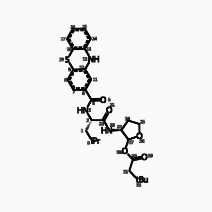 CC(C)C[C@H](NC(=O)c1ccc2c(c1)Nc1ccccc1S2)C(=O)N[C@H]1CCOC1OC(=O)CC(C)(C)C